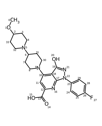 COC1CCN(C2CCN(c3cc(C(=O)O)nc4c3c(O)nn4-c3ccc(F)cc3)CC2)CC1